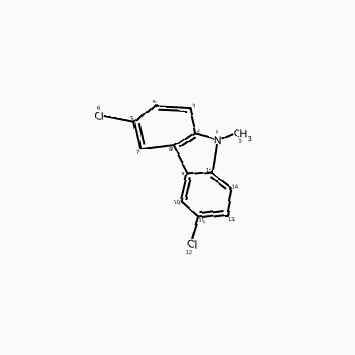 Cn1c2ccc(Cl)cc2c2cc(Cl)ccc21